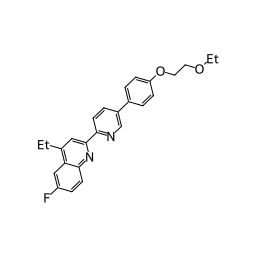 CCOCCOc1ccc(-c2ccc(-c3cc(CC)c4cc(F)ccc4n3)nc2)cc1